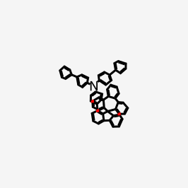 c1ccc(-c2ccc(N(c3ccc(-c4ccccc4)cc3)c3ccc(-c4cccc5c4C4(c6ccccc6-c6ccccc6-c6ccccc64)c4ccccc4-5)cc3)cc2)cc1